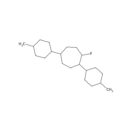 CC1CCC(C2CCC(F)C(C3CCC(C)CC3)CC2)CC1